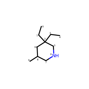 CCC1(CC)CNCC(C)C1